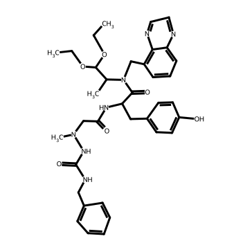 CCOC(OCC)C(C)N(Cc1cccc2nccnc12)C(=O)C(Cc1ccc(O)cc1)NC(=O)CN(C)NC(=O)NCc1ccccc1